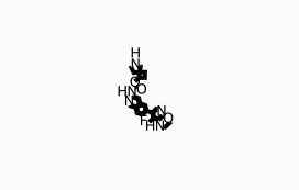 Cc1c(-c2cc3cc(NC(=O)OC4CCC45CCNC5)ncc3cc2F)cnc2c1NCCO2